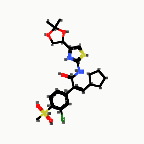 CC1(C)OCC(c2csc(NC(=O)C(=CC3CCCC3)c3ccc(S(C)(=O)=O)c(Cl)c3)n2)O1